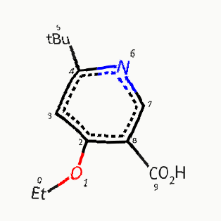 CCOc1cc(C(C)(C)C)ncc1C(=O)O